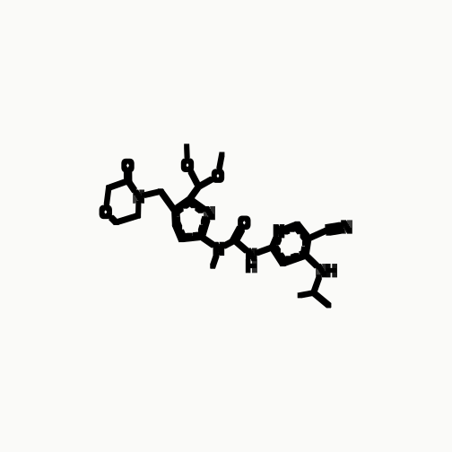 COC(OC)c1nc(N(C)C(=O)Nc2cc(NC(C)C)c(C#N)cn2)ccc1CN1CCOCC1=O